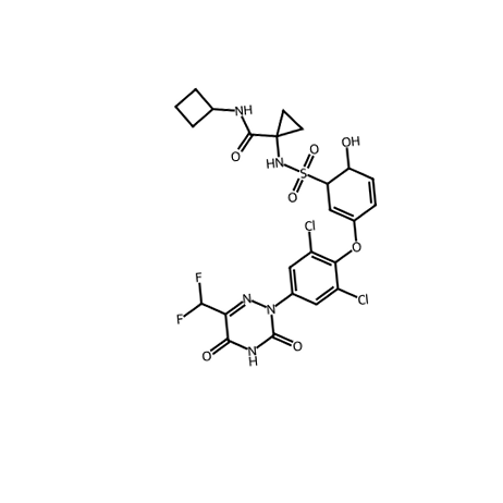 O=C(NC1CCC1)C1(NS(=O)(=O)C2C=C(Oc3c(Cl)cc(-n4nc(C(F)F)c(=O)[nH]c4=O)cc3Cl)C=CC2O)CC1